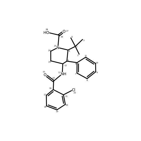 CC(C)(C)C1C(c2ccccc2)C(NC(=O)c2ccccc2Cl)CCN1C(=O)O